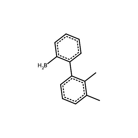 Bc1ccccc1-c1cccc(C)c1C